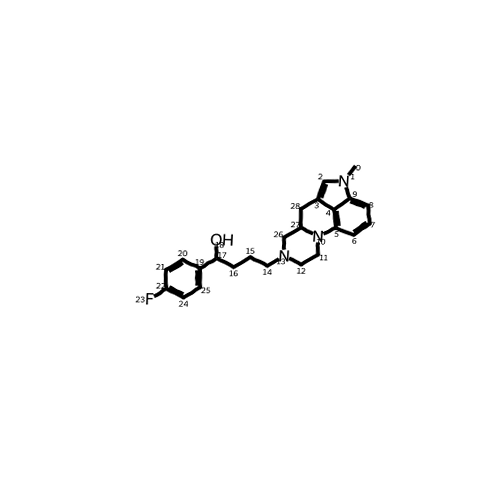 Cn1cc2c3c(cccc31)N1CCN(CCCC(O)c3ccc(F)cc3)CC1C2